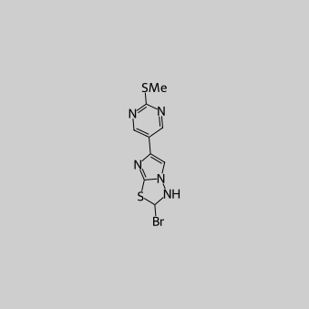 CSc1ncc(-c2cn3c(n2)SC(Br)N3)cn1